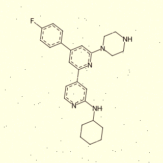 Fc1ccc(-c2cc(-c3ccnc(NC4CCCCC4)c3)nc(N3CCNCC3)c2)cc1